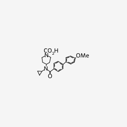 COc1ccc(-c2ccc(C(=O)N(C3CC3)C3CCN(C(=O)O)CC3)cc2)cc1